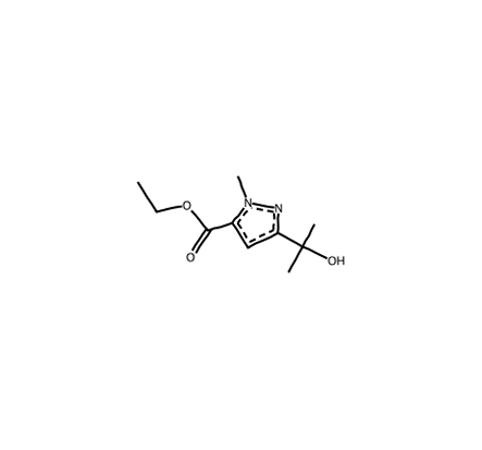 CCOC(=O)c1cc(C(C)(C)O)nn1C